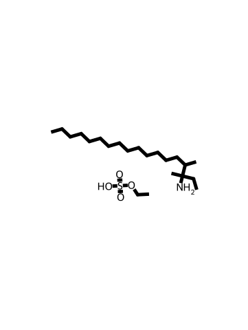 CCCCCCCCCCCCCCC(C)C(C)(N)CC.CCOS(=O)(=O)O